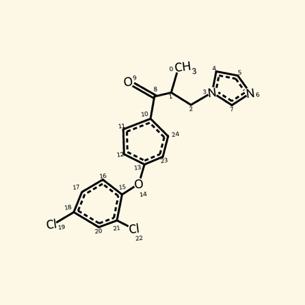 CC(Cn1ccnc1)C(=O)c1ccc(Oc2ccc(Cl)cc2Cl)cc1